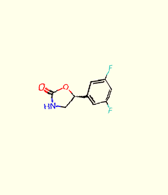 O=C1NC[C@H](c2cc(F)cc(F)c2)O1